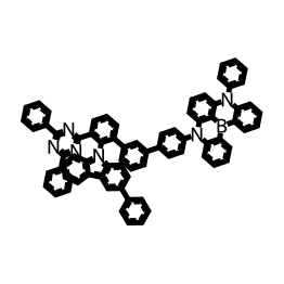 c1ccc(-c2ccc3c(c2)c2ccccc2n3-c2c(-c3cccc(-c4ccc(N5c6ccccc6B6c7ccccc7N(c7ccccc7)c7cccc5c76)cc4)c3)cccc2-c2nc(-c3ccccc3)nc(-c3ccccc3)n2)cc1